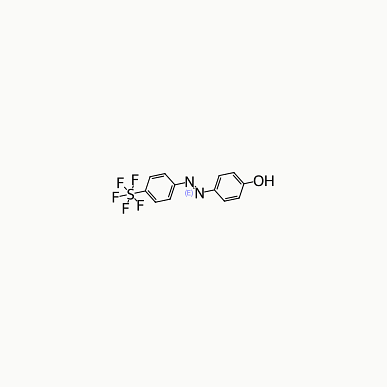 Oc1ccc(/N=N/c2ccc(S(F)(F)(F)(F)F)cc2)cc1